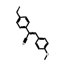 CCc1ccc(/C(C#N)=C/c2ccc(OC)cc2)cc1